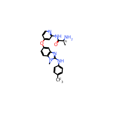 C[C@H](N)C(=O)Nc1cc(Oc2ccc3c(c2)nc(Nc2ccc(C(F)(F)F)cc2)n3C)ccn1